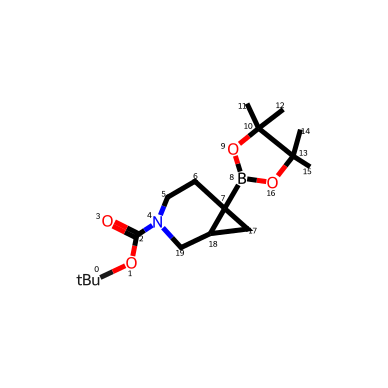 CC(C)(C)OC(=O)N1CCC2(B3OC(C)(C)C(C)(C)O3)CC2C1